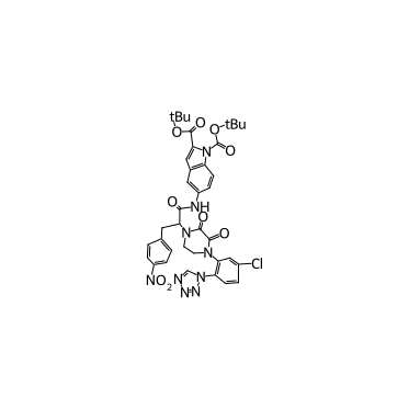 CC(C)(C)OC(=O)c1cc2cc(NC(=O)C(Cc3ccc([N+](=O)[O-])cc3)N3CCN(c4cc(Cl)ccc4-n4cnnn4)C(=O)C3=O)ccc2n1C(=O)OC(C)(C)C